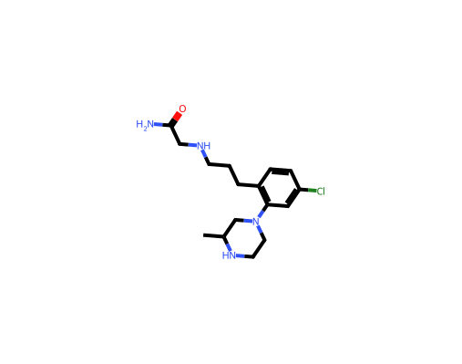 CC1CN(c2cc(Cl)ccc2CCCNCC(N)=O)CCN1